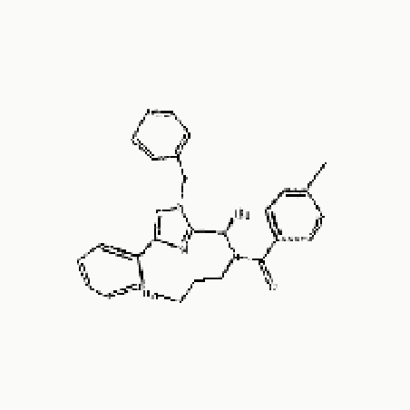 Cc1ccc(C(=O)N(CCCN)[C@@H](c2nc(-c3ccccn3)cn2Cc2ccccc2)C(C)(C)C)cc1